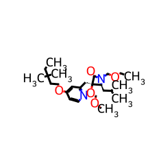 CCOCN1C(=O)[C@](Cc2cc(OCCC(C)(C)CC)ccn2)(OCOC)[C@@H]1CC(C)C